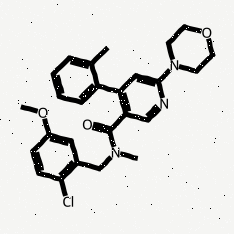 COc1ccc(Cl)c(CN(C)C(=O)c2cnc(N3CCOCC3)cc2-c2ccccc2C)c1